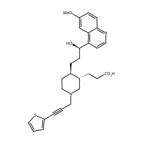 COc1ccc2nccc([C@H](O)CC[C@@H]3CCN(CC#Cc4cccs4)C[C@H]3CCC(=O)O)c2c1